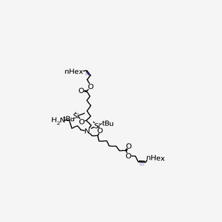 CCCCCC/C=C\COC(=O)CCCCCC(CN(CCCCN)CC(CCCCCC(=O)OC/C=C\CCCCCC)O[Si](C)(C)C(C)(C)C)O[Si](C)(C)C(C)(C)C